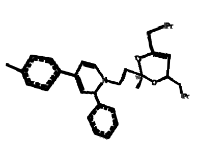 Cc1ccc(C2=CC(c3ccccc3)N(CC[C@]3(C)OC(CC(C)C)=CC(CC(C)C)O3)C=C2)cc1